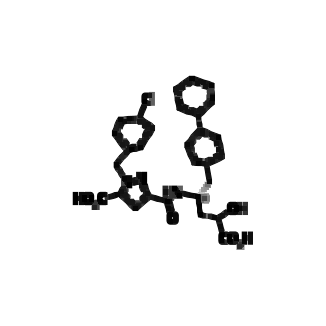 O=C(N[C@H](Cc1ccc(-c2ccccc2)cc1)CC(O)C(=O)O)c1cc(C(=O)O)n(Cc2ccc(Cl)cc2)n1